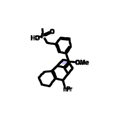 CCCC1C2=C(CCCC2)C2CCCC1/C2=C(\OC)c1cccc(CP(C)(=O)O)c1